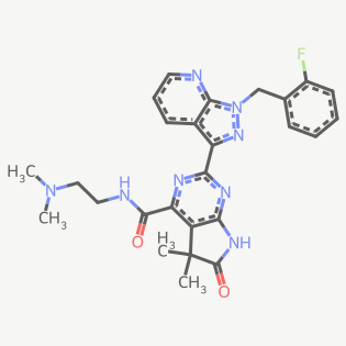 CN(C)CCNC(=O)c1nc(-c2nn(Cc3ccccc3F)c3ncccc23)nc2c1C(C)(C)C(=O)N2